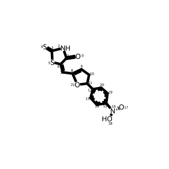 O=C1NC(=S)S/C1=C/C1=CCC(c2ccc([N+](=O)O)cc2)O1